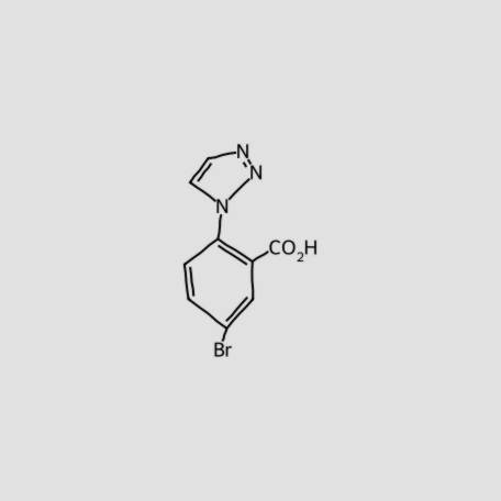 O=C(O)c1cc(Br)ccc1-n1ccnn1